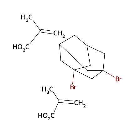 BrC12CC3CC(C1)CC(Br)(C3)C2.C=C(C)C(=O)O.C=C(C)C(=O)O